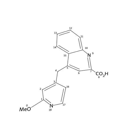 COc1cc(Cc2cc(C(=O)O)nc3ccccc23)ccn1